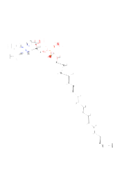 CCCCCCCCCCCCCCCCCCOP(=O)(O)OCC(O)C[N+](C)(C)C